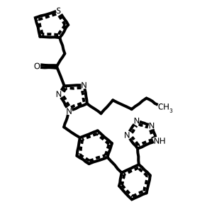 CCCCCc1nc(C(=O)Cc2ccsc2)nn1Cc1ccc(-c2ccccc2-c2nnn[nH]2)cc1